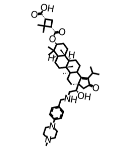 CC(C)C1=C2C3CC[C@@H]4[C@@]5(C)CC[C@H](OC(=O)[C@H]6C[C@@H](C(=O)O)C6(C)C)C(C)(C)[C@@H]5CC[C@@]4(C)[C@]3(C)CC[C@@]2([C@@H](O)CNCc2ccc(N3CCN(C)CC3)cc2)CC1=O